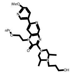 CCCOCCn1c(=O)c(N2CC(C)N(CCCO)C(C)C2)nc2cnc(-c3ccc(OC)nc3)cc21